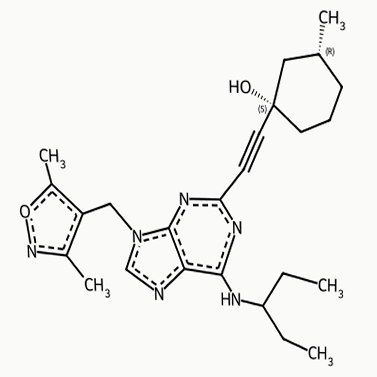 CCC(CC)Nc1nc(C#C[C@]2(O)CCC[C@@H](C)C2)nc2c1ncn2Cc1c(C)noc1C